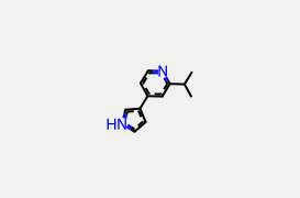 CC(C)c1cc(-c2cc[nH]c2)ccn1